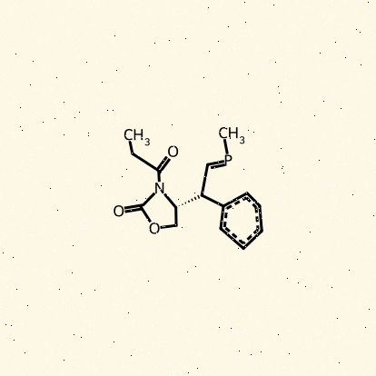 CCC(=O)N1C(=O)OC[C@H]1C(/C=P/C)c1ccccc1